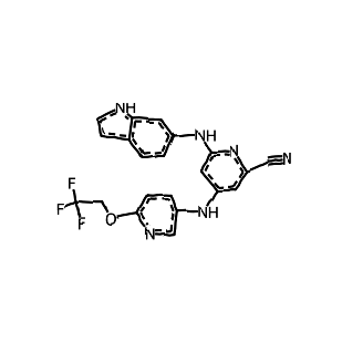 N#Cc1cc(Nc2ccc(OCC(F)(F)F)nc2)cc(Nc2ccc3cc[nH]c3c2)n1